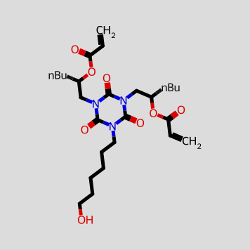 C=CC(=O)OC(CCCC)Cn1c(=O)n(CCCCCCO)c(=O)n(CC(CCCC)OC(=O)C=C)c1=O